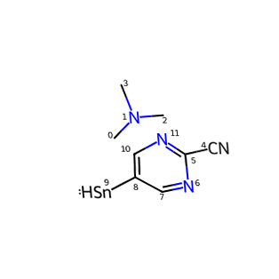 CN(C)C.N#Cc1nc[c]([SnH])cn1